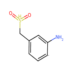 Nc1[c]ccc(C[SH](=O)=O)c1